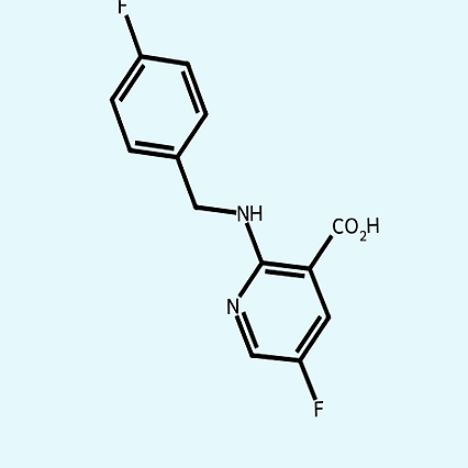 O=C(O)c1cc(F)cnc1NCc1ccc(F)cc1